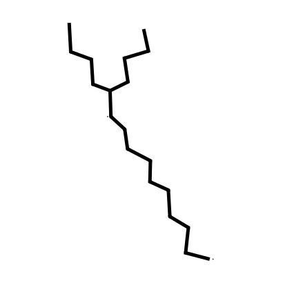 [CH2]CCCCCCCC[CH]C(CCCC)CCCC